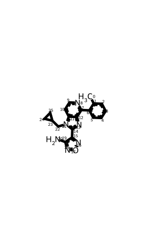 Cc1ccccc1-c1nccc2c1nc(-c1nonc1N)n2CC1CC1